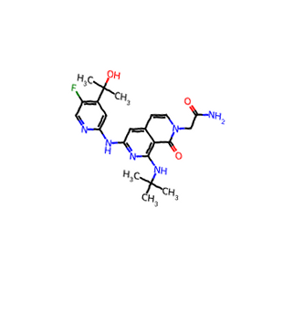 CC(C)(C)Nc1nc(Nc2cc(C(C)(C)O)c(F)cn2)cc2ccn(CC(N)=O)c(=O)c12